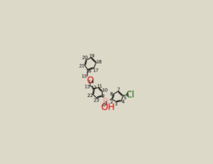 OB(c1ccc(Cl)cc1)c1ccc(COCc2ccccc2)cc1